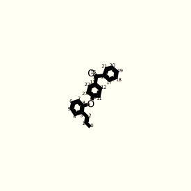 CC=Cc1ccccc1Oc1ccc(C(=O)c2ccccc2)cc1